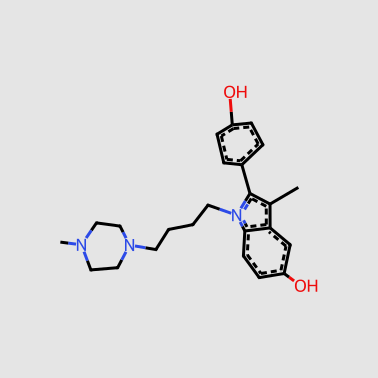 Cc1c(-c2ccc(O)cc2)n(CCCCN2CCN(C)CC2)c2ccc(O)cc12